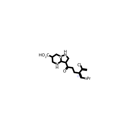 C=C(Cl)/C(=C\CCC)CCC(=O)C1CNN2CC(C(=O)O)CNC12